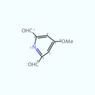 COc1cc(C=O)nc(C=O)c1